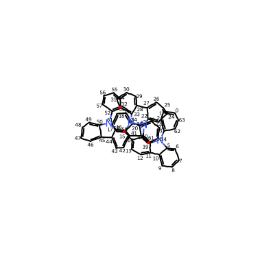 c1ccc(-n2c3ccccc3c3ccc4c5ccccc5n(-c5ccccc5-c5ccccc5-n5c6ccccc6c6ccc7c8ccccc8n(-c8ccccc8)c7c65)c4c32)cc1